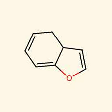 C1=CCC2C=COC2=C1